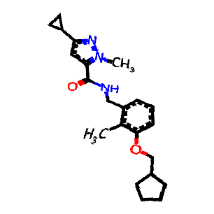 Cc1c(CNC(=O)c2cc(C3CC3)nn2C)cccc1OCC1CCCC1